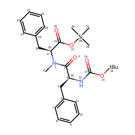 CN(C(=O)[C@H](Cc1ccccc1)NC(=O)OC(C)(C)C)[C@@H](Cc1ccccc1)C(=O)O[Si](C)(C)C